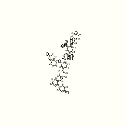 O=C1CCc2c(cccc2Oc2cc(N3CCN(Cc4ccccc4-c4ccc(Cl)cc4)CC3)ccc2C(=O)NS(=O)(=O)c2ccc(NCC3CCOCC3)c([N+](=O)[O-])c2)N1